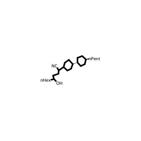 CCCCCCC(O)CCC(C#N)C1CCC([C@H]2CC[C@H](CCCCC)CC2)CC1